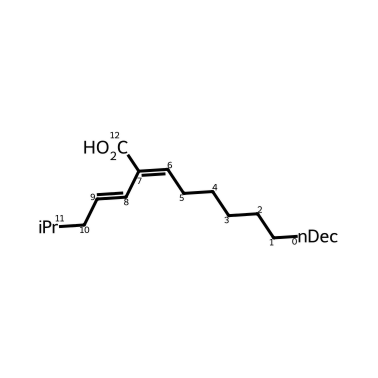 CCCCCCCCCCCCCCCC=C(C=CCC(C)C)C(=O)O